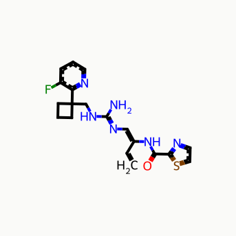 C=C/C(=C\N=C(/N)NCC1(c2ncccc2F)CCC1)NC(=O)c1nccs1